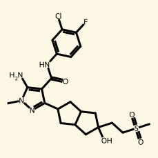 Cn1nc(C2CC3CC(O)(CCS(C)(=O)=O)CC3C2)c(C(=O)Nc2ccc(F)c(Cl)c2)c1N